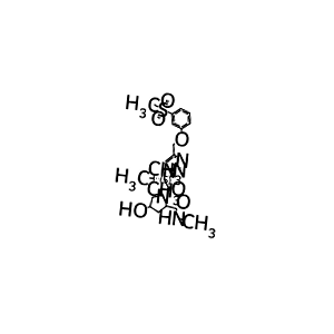 CNC(=O)C1CC(O)CN1C(=O)[C@@H](n1cc(COc2cccc(S(C)(=O)=O)c2)nn1)C(C)(C)C